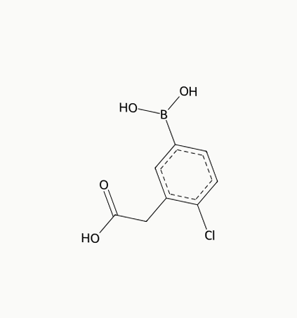 O=C(O)Cc1cc(B(O)O)ccc1Cl